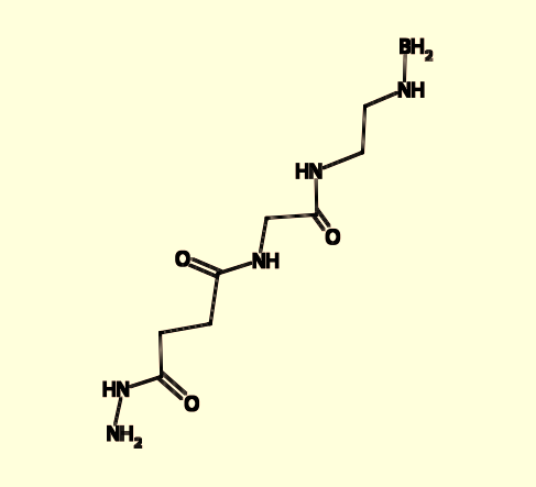 BNCCNC(=O)CNC(=O)CCC(=O)NN